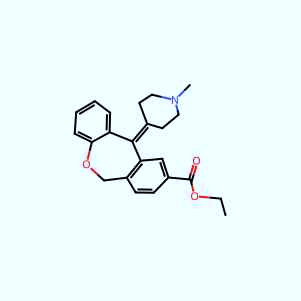 CCOC(=O)c1ccc2c(c1)C(=C1CCN(C)CC1)c1ccccc1OC2